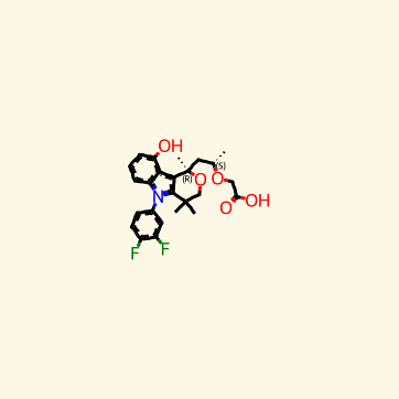 C[C@@H](C[C@@]1(C)OCC(C)(C)c2c1c1c(O)cccc1n2-c1ccc(F)c(F)c1)OCC(=O)O